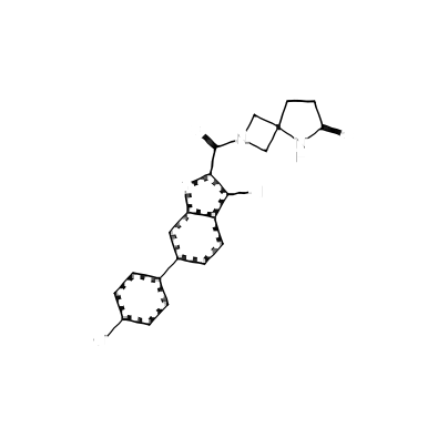 O=C1CCC2(CN(C(=O)c3sc4cc(-c5ccc(Cl)cc5)ccc4c3Cl)C2)N1